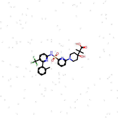 Cc1ccccc1-c1nc(NS(=O)(=O)c2cccc(N3CCC(O)(C(C)(C)C(=O)O)CC3)n2)ccc1C(F)(F)F